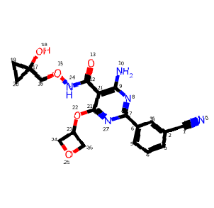 N#Cc1cccc(-c2nc(N)c(C(=O)NOCC3(O)CC3)c(OC3COC3)n2)c1